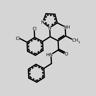 CC1=C(C(=O)NCc2ccccc2)C(c2cccc(Cl)c2Cl)n2nccc2N1